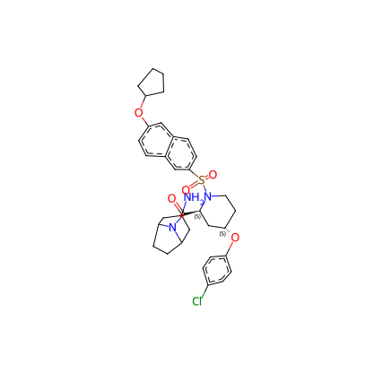 NC1CC2CCC(C1)N2C(=O)[C@@H]1C[C@@H](Oc2ccc(Cl)cc2)CCN1S(=O)(=O)c1ccc2cc(OC3CCCC3)ccc2c1